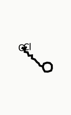 O=C(Cl)CCCCCCCCCC1CCCCCCCCC1